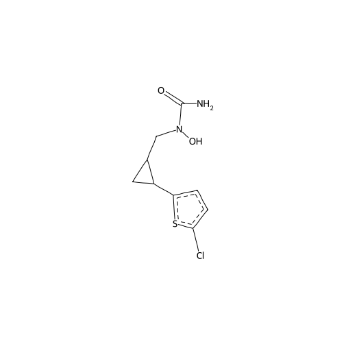 NC(=O)N(O)CC1CC1c1ccc(Cl)s1